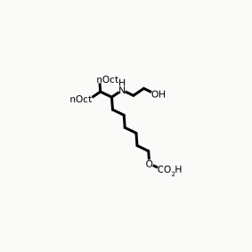 CCCCCCCCC(CCCCCCCC)C(CCCCCCOC(=O)O)NCCO